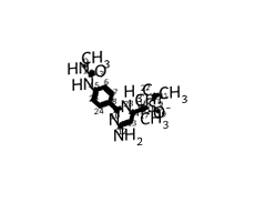 CNC(=O)Nc1ccc(-c2nc(N)cc(C(C)(C)[S+]([O-])C(C)C)n2)cc1